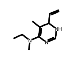 C=CC1NC=NC(N(C)CC)=C1C